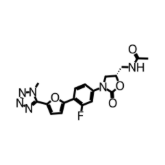 CC(=O)NC[C@H]1CN(c2ccc(-c3ccc(-c4nnnn4C)o3)c(F)c2)C(=O)O1